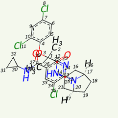 CC(C)(Oc1ccc(Cl)cc1Cl)C(=O)N[C@H]1C[C@H]2CC[C@@H](C1)N2c1ncc(C(=O)NC2CC2)cc1Cl